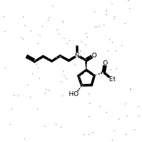 C=CCCCCN(C)C(=O)[C@@H]1C[C@@H](O)C[C@H]1C(=O)CC